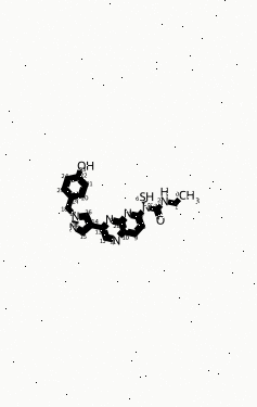 CCNC(=O)N(S)c1ccc2ncc(-c3cnn(Cc4ccc(O)cc4)c3)nc2n1